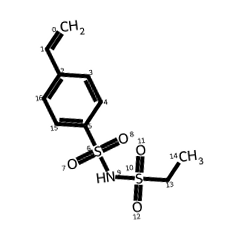 C=Cc1ccc(S(=O)(=O)NS(=O)(=O)CC)cc1